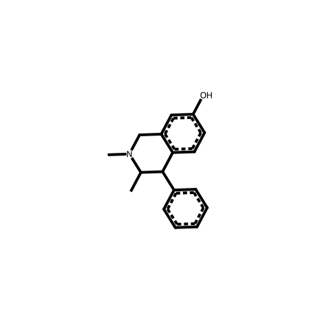 CC1C(c2ccccc2)c2ccc(O)cc2CN1C